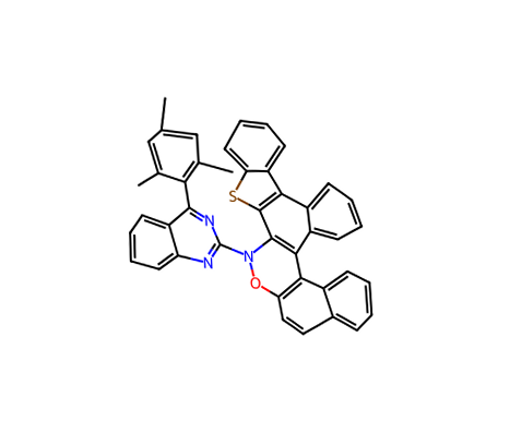 Cc1cc(C)c(-c2nc(N3Oc4ccc5ccccc5c4-c4c3c3sc5ccccc5c3c3ccccc43)nc3ccccc23)c(C)c1